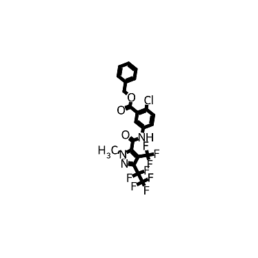 Cn1nc(C(F)(F)C(F)(F)F)c(C(F)(F)F)c1C(=O)Nc1ccc(Cl)c(C(=O)OCc2ccccc2)c1